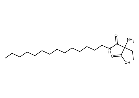 CCCCCCCCCCCCCCNC(=O)C(N)(CC)C(=O)O